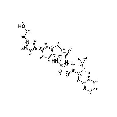 C[C@@H](C1CC1)N(Cc1ccccc1)C(=O)CN1C(=O)N[C@]2(CCc3cc(-c4cnn(CCO)c4)ccc32)C1=O